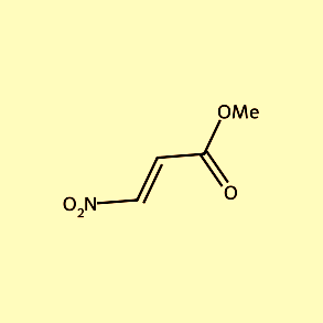 COC(=O)C=C[N+](=O)[O-]